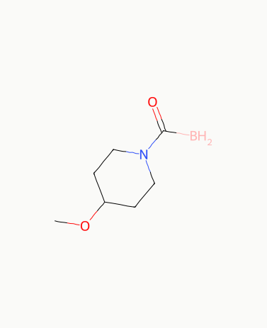 BC(=O)N1CCC(OC)CC1